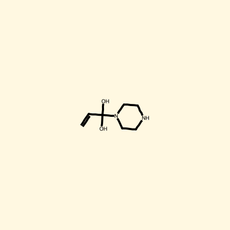 C=CC(O)(O)N1CCNCC1